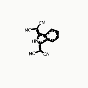 N#CC(C#N)=c1[nH]c(=C(C#N)C#N)c2ccccc12